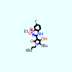 CCOP1(=O)N=C(C2=C(O)C(C(C)(C)C)N(CCC(C)(C)C)C2=O)Nc2ccc(F)cc21